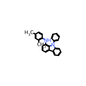 Cc1ccc(Nc2cccc3c4ccccc4n(-c4ccccc4)c23)c(C)c1